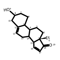 CC[C@]12CCC3C4CCC(O)CC4=CCC3C1C=CC2=O